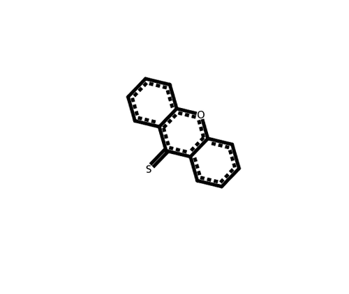 S=c1c2ccccc2oc2ccccc12